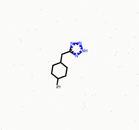 CC(C)C1CCC(Cc2nn[nH]n2)CC1